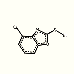 CCSc1nc2c(Cl)cccc2o1